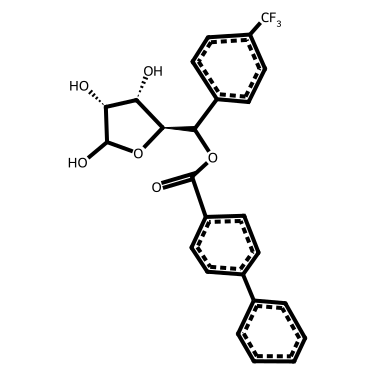 O=C(OC(c1ccc(C(F)(F)F)cc1)[C@H]1OC(O)[C@H](O)[C@@H]1O)c1ccc(-c2ccccc2)cc1